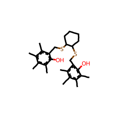 Cc1c(C)c(C)c(CSC2CCCCC2SCc2c(C)c(C)c(C)c(C)c2O)c(O)c1C